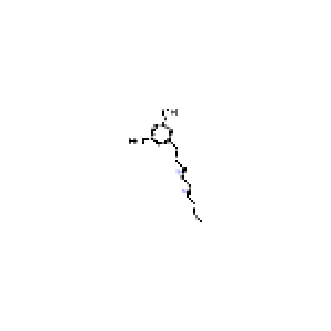 CCC/C=C/C=C/CCc1cc(O)cc(O)c1